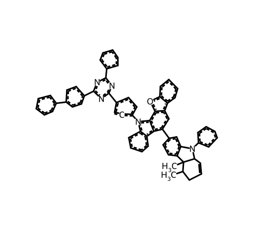 CC1CC=CC2N(c3ccccc3)c3cc(-c4cc5c6ccccc6oc5c5c4c4ccccc4n5-c4ccc(-c5nc(-c6ccccc6)nc(-c6ccc(-c7ccccc7)cc6)n5)cc4)ccc3C12C